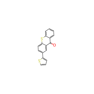 O=c1c2ccccc2sc2ccc(-c3cccs3)cc12